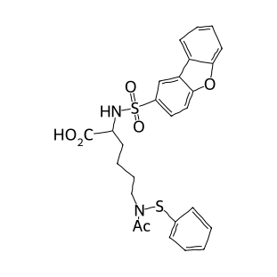 CC(=O)N(CCCCC(NS(=O)(=O)c1ccc2oc3ccccc3c2c1)C(=O)O)Sc1ccccc1